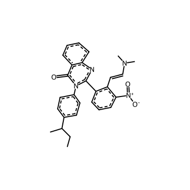 CCC(C)c1ccc(-n2c(-c3cccc([N+](=O)[O-])c3/C=C/N(C)C)nc3ccccc3c2=O)cc1